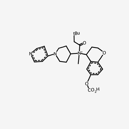 CC(C)(C)CC(=O)[N+](C)(C1CCN(c2ccncc2)CC1)C1CCOc2ccc(OC(=O)O)cc21